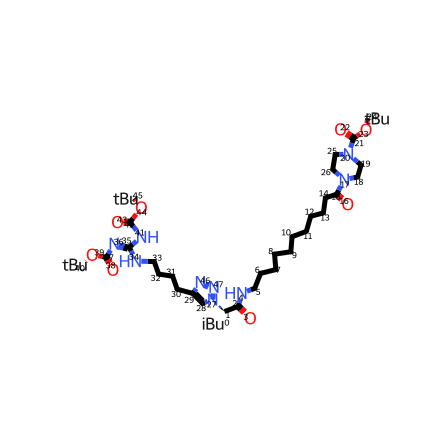 CC[C@H](C)[C@@H](C(=O)NCCCCCCCCCCC(=O)N1CCN(C(=O)OC(C)(C)C)CC1)n1cc(CCCCN/C(=N\C(=O)OC(C)(C)C)NC(=O)OC(C)(C)C)nn1